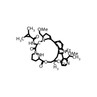 CCn1c(-c2cccnc2C(C)OC)c2c3cc(ccc31)C1=CCC(COC)N(C1)CC(NC(=O)C1C(C)C1C)C(=O)N1CCCC(N1)C(=O)OCC(C)(C)C2